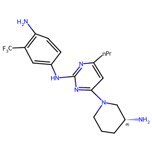 CCCc1cc(N2CCC[C@@H](N)C2)nc(Nc2ccc(N)c(C(F)(F)F)c2)n1